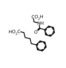 O=C(O)CCCCc1ccccc1.O=C(O)CNC(=O)c1ccccc1